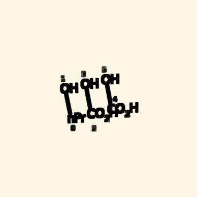 CCCO.O=C(O)O.O=C(O)O